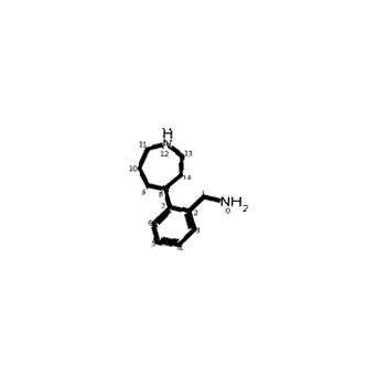 NCc1ccccc1C1CCCNCC1